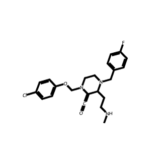 CNCCC1C(=C=O)N(COc2ccc(Cl)cc2)CCN1Cc1ccc(F)cc1